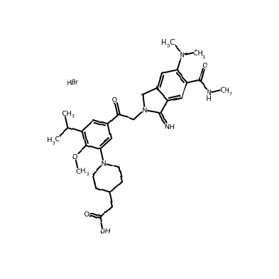 Br.CNC(=O)c1cc2c(cc1N(C)C)CN(CC(=O)c1cc(C(C)C)c(OC)c(N3CCC(CC(=O)O)CC3)c1)C2=N